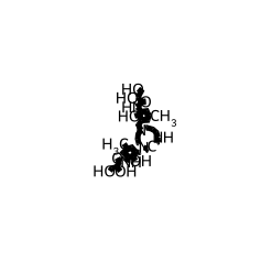 Cc1cc(CN2CCCNCCCN(Cc3cc(C)cc(NC(=O)C(O)CO)c3O)CCC2)c(O)c(NC(=O)C(O)CO)c1